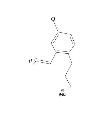 C=Cc1cc(Cl)ccc1CCC[C@@H](C)CC